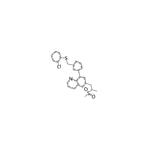 CC(Cc1cc(-c2cccc(CSc3ccccc3Cl)c2)c2ncccc2c1)S(C)(=O)=O